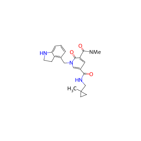 CNC(=O)c1cc(C(=O)NCC2(C)CC2)cn(Cc2cccc3c2CCN3)c1=O